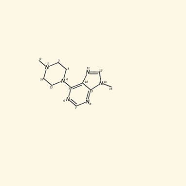 CN1CCN(c2ncnc3c2ncn3C)CC1